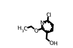 CCOc1nc(Cl)ccc1CO